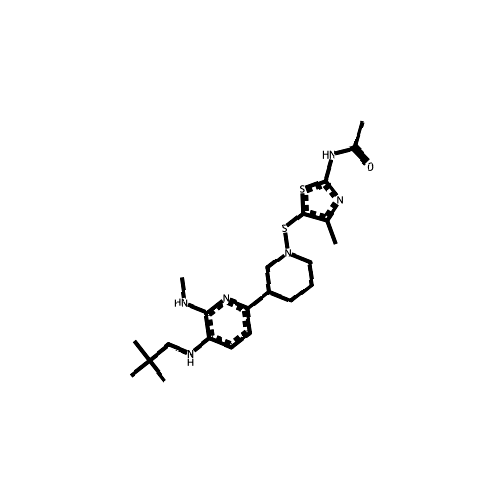 CNc1nc(C2CCCN(Sc3sc(NC(C)=O)nc3C)C2)ccc1NCC(C)(C)C